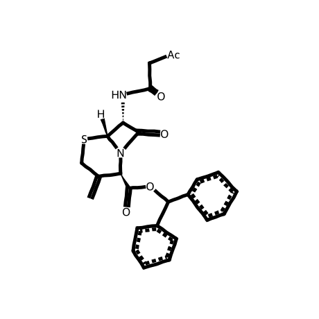 C=C1CS[C@@H]2[C@H](NC(=O)CC(C)=O)C(=O)N2[C@H]1C(=O)OC(c1ccccc1)c1ccccc1